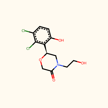 O=C1CO[C@@H](c2c(O)ccc(Cl)c2Cl)CN1CCO